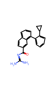 NC(N)=NC(=O)c1ccc2cccc(-c3ccccc3C3CC3)c2c1